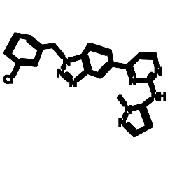 Cn1nccc1Nc1nccc(-c2ccc3c(c2)nnn3Cc2cccc(Cl)c2)n1